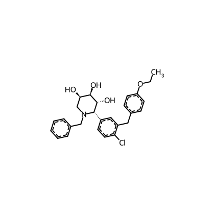 CCOc1ccc(Cc2cc([C@H]3[C@@H](O)[C@H](O)[C@H](O)CN3Cc3ccccc3)ccc2Cl)cc1